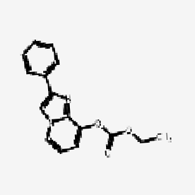 CCOC(=O)Oc1cccn2cc(-c3ccccc3)nc12